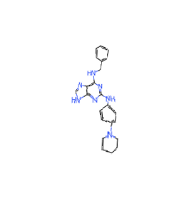 c1ccc(CNc2nc(Nc3ccc(N4CCCCC4)cc3)nc3[nH]cnc23)cc1